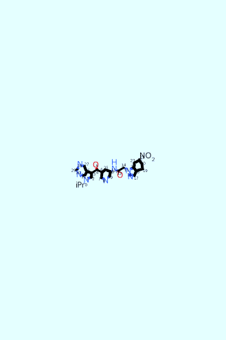 CC(C)n1cc(C(=O)c2cncc(NC(=O)Cn3ncc4ccc([N+](=O)[O-])cc43)c2)c2cncnc21